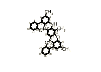 Cc1cc2c3c(c1)-c1ccccc1OB3c1cc3c(c(C)c1N2)Oc1cc(C)cc2c1B3Oc1ccccc1-2